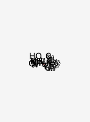 CN(CCCN(C)S(N)(=O)=O)CC[C@@H]1COc2ccccc2-c2c(C3CCCCC3)c3ccc(C(=O)O)cc3n2C1